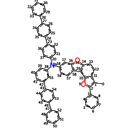 Cc1c(-c2ccccc2)oc2c1ccc1oc3cc(N(c4ccc(-c5ccc(-c6ccccc6)cc5)cc4)c4cccc(-c5ccc(-c6ccccc6)cc5)c4)ccc3c12